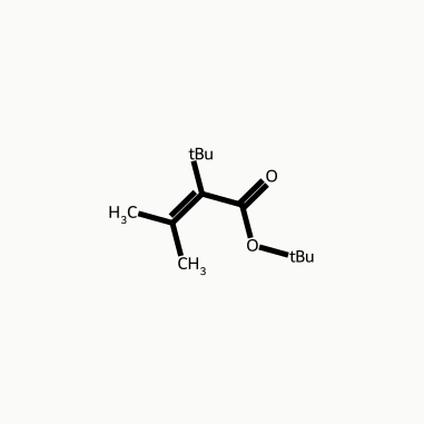 CC(C)=C(C(=O)OC(C)(C)C)C(C)(C)C